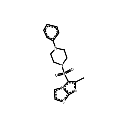 Cc1nc2sccn2c1S(=O)(=O)N1CCN(c2ccccc2)CC1